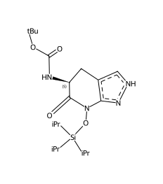 CC(C)[Si](ON1C(=O)[C@@H](NC(=O)OC(C)(C)C)Cc2c[nH]nc21)(C(C)C)C(C)C